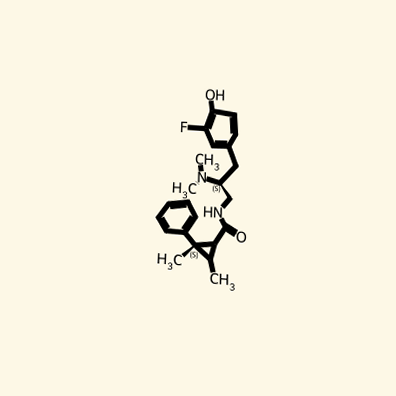 CC1C(C(=O)NC[C@H](Cc2ccc(O)c(F)c2)N(C)C)[C@@]1(C)c1ccccc1